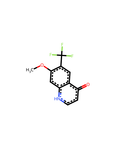 COc1cc2[nH]ccc(=O)c2cc1C(F)(F)F